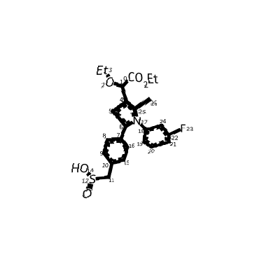 CCOC(=O)C(OCC)c1cc(-c2ccc(CS(=O)O)cc2)n(-c2cccc(F)c2)c1C